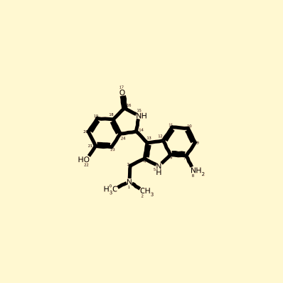 CN(C)Cc1[nH]c2c(N)cccc2c1C1NC(=O)c2ccc(O)cc21